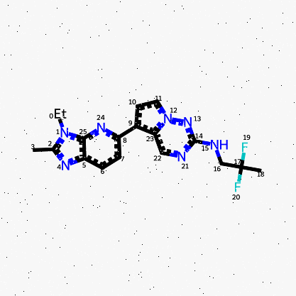 CCn1c(C)nc2ccc(-c3ccn4nc(NCC(C)(F)F)ncc34)nc21